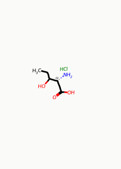 CCC(O)[C@H](N)C(=O)O.Cl